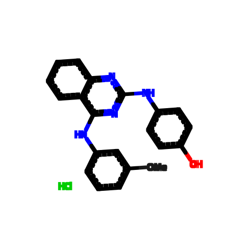 COc1cccc(Nc2nc(Nc3ccc(O)cc3)nc3ccccc23)c1.Cl